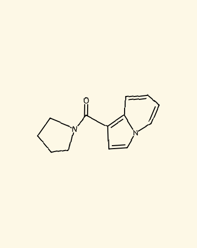 O=C(c1ccn2ccccc12)N1CCCC1